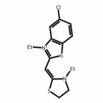 CCN1CCSC1=Cc1sc2ccc(Cl)cc2[n+]1CC